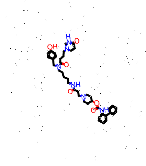 O=C(CCN1CCC(OC(=O)Nc2ccccc2-c2ccccc2)CC1)NCCCCCN(Cc1ccc(O)cc1)C(=O)CCCN1CCC(=O)NC1